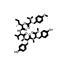 CC[C@@H](C)[C@@H](OC(=O)[C@@H](Cc1ccc(OC)cc1)N(C)C)C(=O)N[C@@H](C(=O)N(C)[C@@H](Cc1ccc(O)cc1)C(=O)N(C)[C@H](Cc1ccc(O)cc1)C(=O)OC)C(C)C